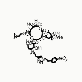 CC[C@H]1OC(=O)[C@H](C)[C@@H](O[C@H]2C[C@@](C)(OC)[C@@H](O)[C@H](C)O2)[C@H](C)[C@@H](OC2O[C@H](C)C[C@H](N(C)CCc3cn(CCc4ccc([N+](=O)[O-])cc4)nn3)[C@H]2O)[C@](C)(O)C[C@@H](C)/C(=N\OCCN(C)C)[C@H](C)[C@@H](O)[C@]1(C)O